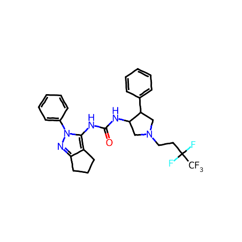 O=C(Nc1c2c(nn1-c1ccccc1)CCC2)NC1CN(CCC(F)(F)C(F)(F)F)CC1c1ccccc1